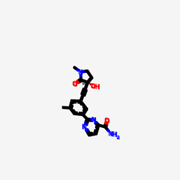 Cc1cc(C#C[C@]2(O)CCN(C)C2=O)cc(-c2nccc(C(N)=O)n2)c1